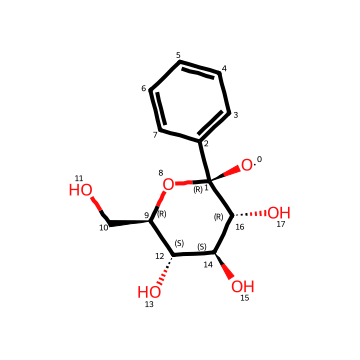 [O][C@]1(c2ccccc2)O[C@H](CO)[C@@H](O)[C@H](O)[C@H]1O